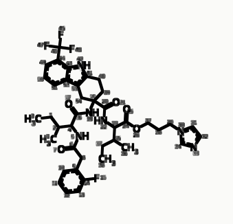 CCC(C)C(NC(=O)Cc1ccccc1F)C(=O)NC1(C(=O)NC(C(=O)OCCCn2ccnc2)C(C)CC)CCc2[nH]c3c(C(F)(F)F)cccc3c2C1